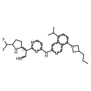 CSCC1CN(c2ccc(C(C)C)c3cc(Nc4ccnc(/C(C=N)=C5\CCC(C(F)F)N5)n4)ncc23)C1